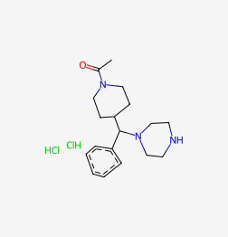 CC(=O)N1CCC(C(c2ccccc2)N2CCNCC2)CC1.Cl.Cl